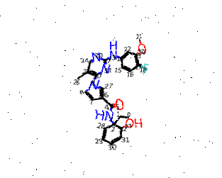 CCC1(NC(=O)c2ccn(-c3nc(Nc4ccc(F)c(OC)c4)ncc3C)c2)C=CC=CC1O